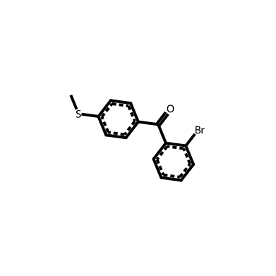 CSc1ccc(C(=O)c2ccccc2Br)cc1